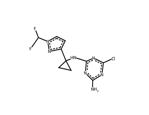 Nc1nc(Cl)nc(NC2(c3ccn(C(F)F)n3)CC2)n1